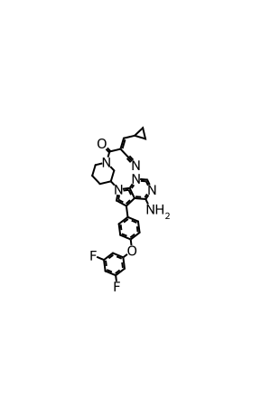 N#CC(=CC1CC1)C(=O)N1CCCC(n2cc(-c3ccc(Oc4cc(F)cc(F)c4)cc3)c3c(N)ncnc32)C1